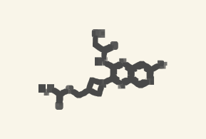 NC(=O)OCC1CN(c2nc3cnc(Br)cc3nc2NC(=O)CO)C1